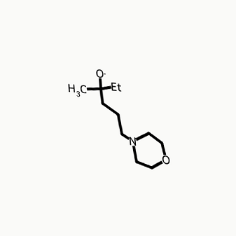 CCC(C)([O])CCCN1CCOCC1